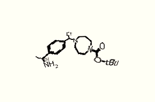 CCC(c1ccc([C@H](C)N)cc1)N1CCCN(C(=O)OC(C)(C)C)CCC1